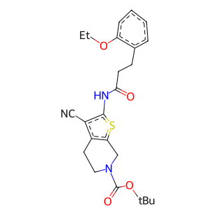 CCOc1ccccc1CCC(=O)Nc1sc2c(c1C#N)CCN(C(=O)OC(C)(C)C)C2